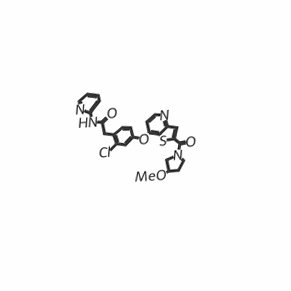 COC1CCN(C(=O)c2cc3nccc(Oc4ccc(CC(=O)Nc5ccccn5)c(Cl)c4)c3s2)C1